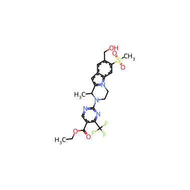 CCOC(=O)c1cnc(N2CCn3c(cc4cc(CO)c(S(C)(=O)=O)cc43)C2C)nc1C(F)(F)F